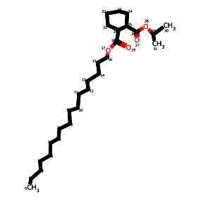 CCCCCCCCCCCCCCCCCOC(=O)C1CCCCC1C(=O)OC(C)C